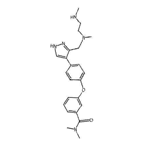 CNCCN(C)Cc1n[nH]cc1-c1ccc(Oc2cccc(C(=O)N(C)C)c2)cc1